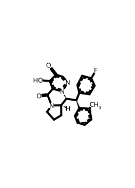 Cc1ccccc1[C@H](c1ccc(F)cc1)[C@@H]1[C@H]2CCCN2C(=O)c2c(O)c(=O)cnn21